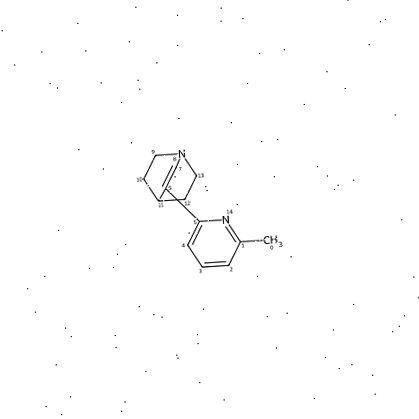 Cc1cccc(C2=CN3CCC2CC3)n1